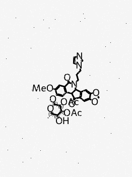 COc1cc2c(cc1O[C@@H]1O[C@@H](C)[C@@H](O)[C@@H](OC(C)=O)[C@@H]1OC(C)=O)C1C(=O)c3cc4c(cc3C1N(CCCn1ccnc1)C2=O)OCO4